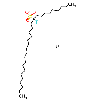 CCCCCCCCCCCCCCCCCCC(F)(CCCCCCCCC)S(=O)(=O)[O-].[K+]